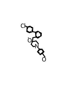 COC1(Cc2ccccc2-c2ccc(Cl)cc2)CCN(c2ccc(C=O)cc2)CC1